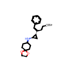 COCCC(=Cc1ccccc1)[C@@H]1C[C@H]1NC1CCC2(CC1)OCCO2